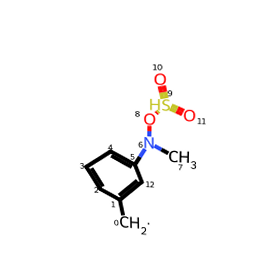 [CH2]c1cccc(N(C)O[SH](=O)=O)c1